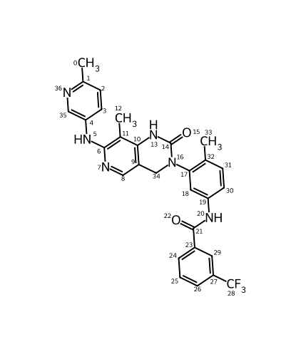 Cc1ccc(Nc2ncc3c(c2C)NC(=O)N(c2cc(NC(=O)c4cccc(C(F)(F)F)c4)ccc2C)C3)cn1